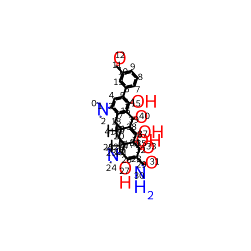 CN(C)c1cc(-c2cccc(C=O)c2)c(O)c2c1C[C@H]1C[C@H]3[C@H](N(C)C)C(O)=C(C(N)=O)C(=O)[C@@]3(O)C(O)=C1C2=O